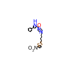 O=C(c1cc(-c2ccccc2)c[nH]1)N1CCN(CCCCCCSc2ccc([N+](=O)[O-])s2)CC1